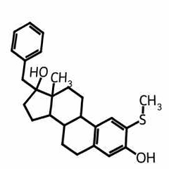 CSc1cc2c(cc1O)CCC1C2CCC2(C)C1CCC2(O)Cc1ccccc1